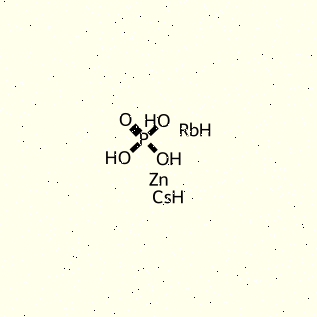 O=P(O)(O)O.[CsH].[RbH].[Zn]